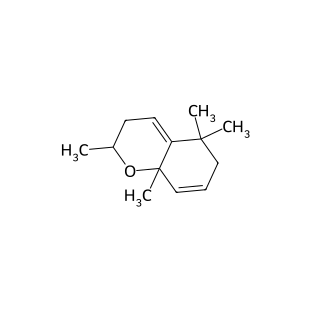 CC1CC=C2C(C)(C)CC=CC2(C)O1